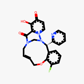 O=C1c2c(O)c(=O)ccn2N2CN1C/C=C/COc1c(F)cccc1[C@H]2c1ccccn1